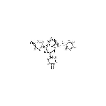 [O-][S+]1CCN(c2nc(N3CCNCC3)nc3c(OCc4ccccc4)ncnc23)CC1